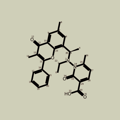 CCN([C@H](C)c1cc(C)cc2c(=O)c(C)c(-c3ccccc3)oc12)n1c(C)ccc(C(=O)O)c1=O